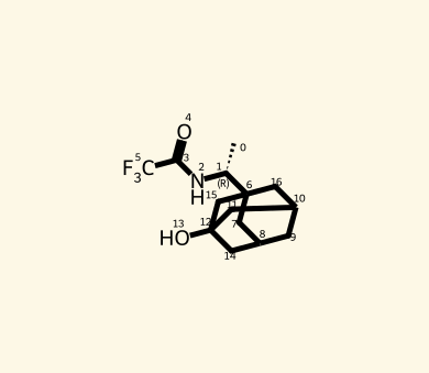 C[C@@H](NC(=O)C(F)(F)F)C12CC3CC(CC(O)(C3)C1)C2